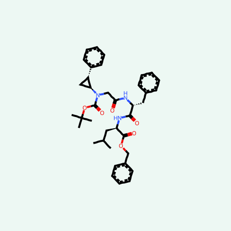 CC(C)C[C@@H](NC(=O)[C@@H](Cc1ccccc1)NC(=O)CN(C(=O)OC(C)(C)C)[C@H]1C[C@@H]1c1ccccc1)C(=O)OCc1ccccc1